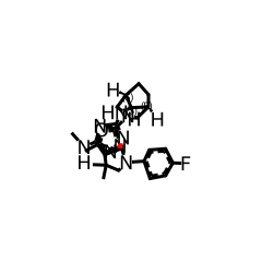 CNc1nc(N[C@@H]2[C@@H]3CC[C@H]2CN(c2nnc(C)o2)C3)nc2c1C(C)(C)CN2c1ccc(F)cc1